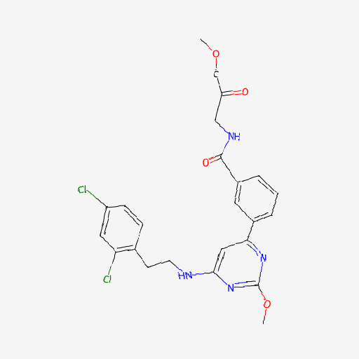 COCC(=O)CNC(=O)c1cccc(-c2cc(NCCc3ccc(Cl)cc3Cl)nc(OC)n2)c1